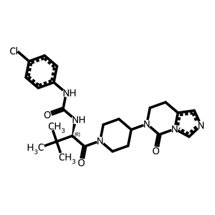 CC(C)(C)[C@@H](NC(=O)Nc1ccc(Cl)cc1)C(=O)N1CCC(N2CCc3cncn3C2=O)CC1